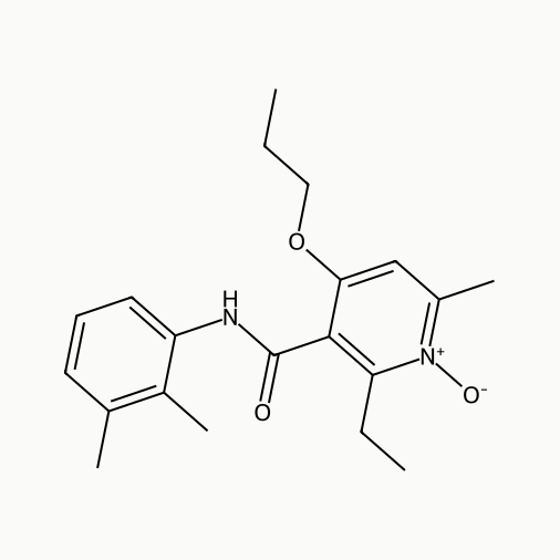 CCCOc1cc(C)[n+]([O-])c(CC)c1C(=O)Nc1cccc(C)c1C